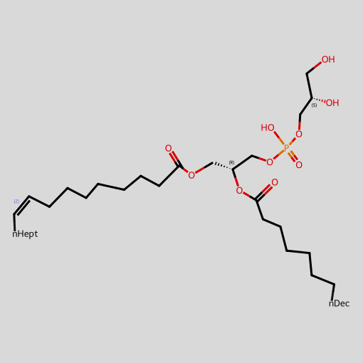 CCCCCCC/C=C\CCCCCCCC(=O)OC[C@H](COP(=O)(O)OC[C@@H](O)CO)OC(=O)CCCCCCCCCCCCCCCC